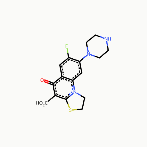 O=C(O)c1c2n(c3cc(N4CCNCC4)c(F)cc3c1=O)CCS2